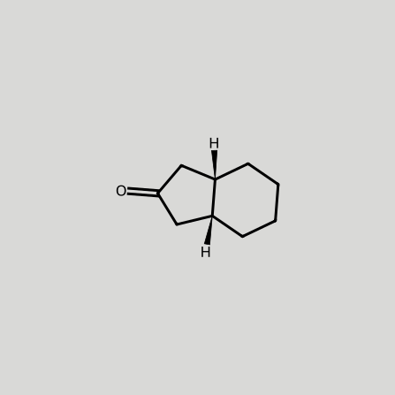 O=C1C[C@H]2CCCC[C@H]2C1